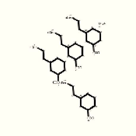 CCCCCCCCCCCCC1CCCC(C(=O)[O-])C1.CCCCCCCCCCCCC1CCCC(C(=O)[O-])C1.CCCCCCCCCCCCC1CCCC(C(=O)[O-])C1.CCCCCCCCCCCCC1CCCC(C(=O)[O-])C1.[Mo+4]